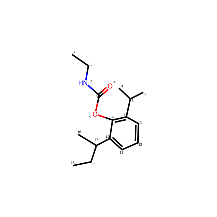 CCNC(=O)Oc1c(C(C)C)cccc1C(C)CC